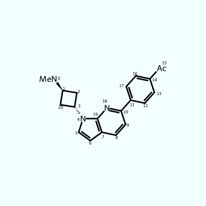 CN[C@H]1C[C@H](n2ccc3ccc(-c4ccc(C(C)=O)cc4)nc32)C1